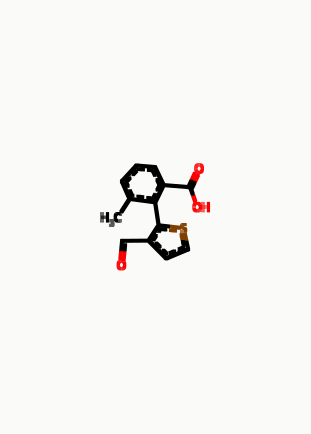 Cc1cccc(C(=O)O)c1-c1sccc1C=O